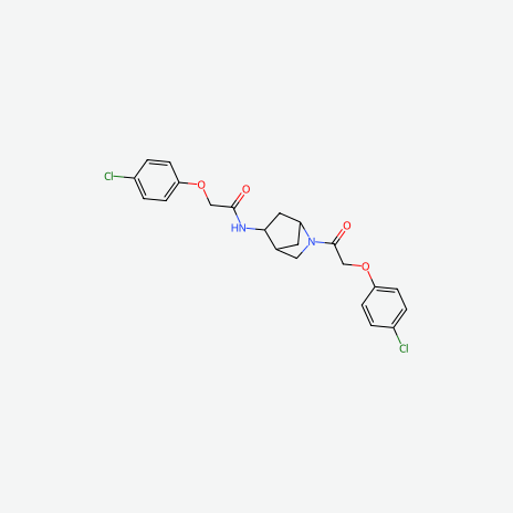 O=C(COc1ccc(Cl)cc1)NC1CC2CC1CN2C(=O)COc1ccc(Cl)cc1